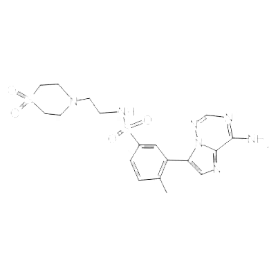 Cc1ccc(S(=O)(=O)NCCN2CCS(=O)(=O)CC2)cc1-c1cnc2c(N)ncnn12